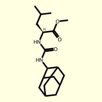 COC(=O)[C@H](CC(C)C)NC(=O)NC1C2CC3CC(C2)CC1C3